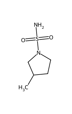 CC1CCN(S(N)(=O)=O)C1